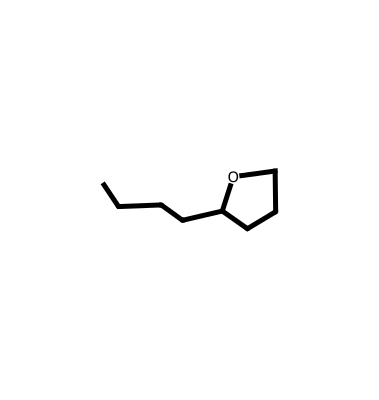 CCCCC1CCCO1